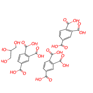 O=C(O)c1ccc(C(=O)O)c(C(=O)O)c1.O=C(O)c1ccc(C(=O)O)c(C(=O)O)c1.O=C(O)c1ccc(C(=O)O)c(C(=O)O)c1.OCC(O)CO